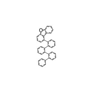 c1ccc(-c2ccccc2-c2ccccc2-c2ccccc2-c2cccc3oc4ccccc4c23)cc1